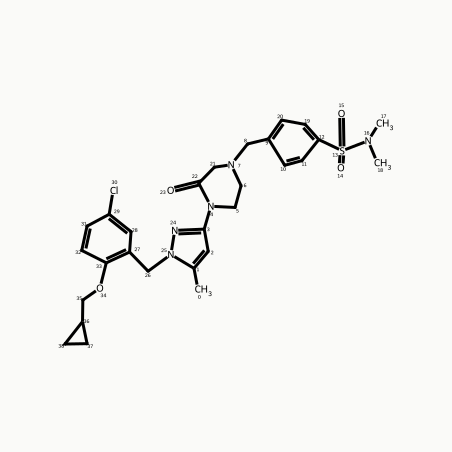 Cc1cc(N2CCN(Cc3ccc(S(=O)(=O)N(C)C)cc3)CC2=O)nn1Cc1cc(Cl)ccc1OCC1CC1